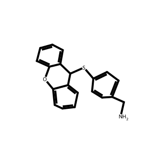 NCc1ccc(SC2c3ccccc3Oc3ccccc32)cc1